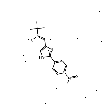 CC(C)(C)/[N+]([O-])=C/c1c[nH]c(-c2ccc([N+](=O)[O-])cc2)n1